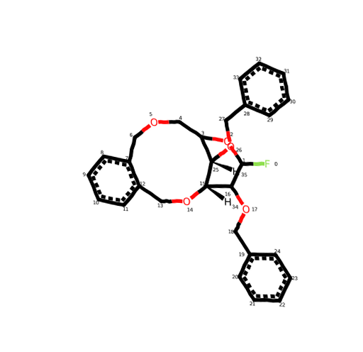 FC1OC2COCc3ccccc3CO[C@@H](C1OCc1ccccc1)[C@H]2OCc1ccccc1